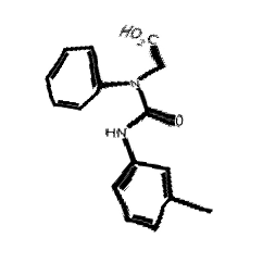 Cc1cccc(NC(=O)N(CC(=O)O)c2ccccc2)c1